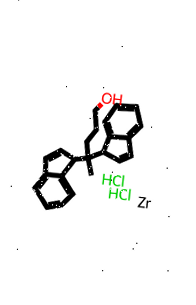 CC(CCCO)(C1C=Cc2ccccc21)C1C=Cc2ccccc21.Cl.Cl.[Zr]